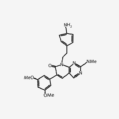 CNc1ncc2cc(-c3cc(OC)cc(OC)c3)c(=O)n(CCc3ccc(N)cc3)c2n1